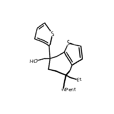 CCCCCC1(CC)CC(O)(c2cccs2)c2sccc21